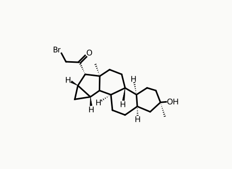 C[C@@]1(O)CC[C@H]2[C@H](CC[C@H]3C4[C@@H]5C[C@@H]5[C@H](C(=O)CBr)[C@@]4(C)CC[C@H]23)C1